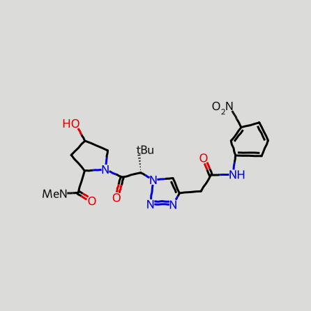 CNC(=O)C1CC(O)CN1C(=O)[C@@H](n1cc(CC(=O)Nc2cccc([N+](=O)[O-])c2)nn1)C(C)(C)C